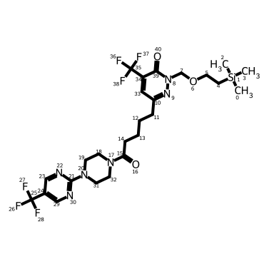 C[Si](C)(C)CCOCn1nc(CCCCC(=O)N2CCN(c3ncc(C(F)(F)F)cn3)CC2)cc(C(F)(F)F)c1=O